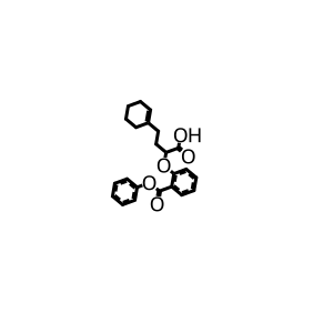 O=C(Oc1ccccc1)c1ccccc1OC(CCC1=CCCCC1)C(=O)O